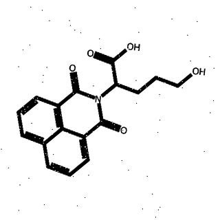 O=C(O)C(CCCO)N1C(=O)c2cccc3cccc(c23)C1=O